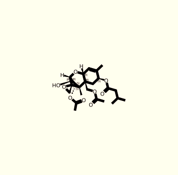 CC(=O)OC[C@]12C[C@H](OC(=O)CC(C)C)C(C)=C[C@H]1O[C@@H]1[C@H](O)[C@@H](OC(C)=O)[C@@]2(C)[C@@]12CO2